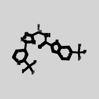 C[C@H](NC(=O)c1cc2ccc(C(F)(F)F)cc2s1)c1nc(-c2ccnc(C(F)(F)F)c2)no1